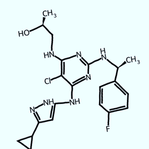 C[C@H](O)CNc1nc(N[C@@H](C)c2ccc(F)cc2)nc(Nc2cc(C3CC3)n[nH]2)c1Cl